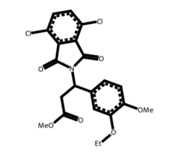 CCOc1cc(C(CC(=O)OC)N2C(=O)c3c(Cl)ccc(Cl)c3C2=O)ccc1OC